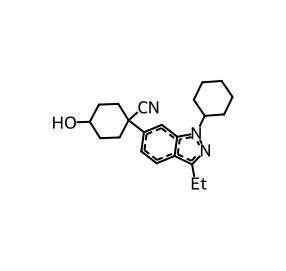 CCc1nn(C2CCCCC2)c2cc(C3(C#N)CCC(O)CC3)ccc12